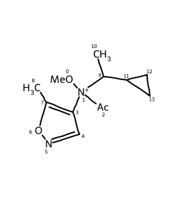 CO[N+](C(C)=O)(c1cnoc1C)C(C)C1CC1